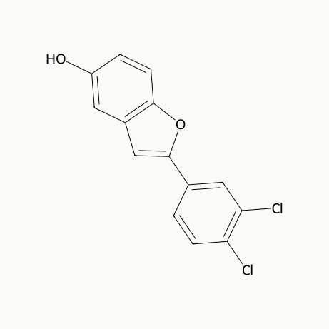 Oc1ccc2oc(-c3ccc(Cl)c(Cl)c3)cc2c1